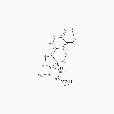 C[C@]12CCC3=C4CCCC=C4CCC3C1CC[C@]2(CC#N)CCC(=O)O